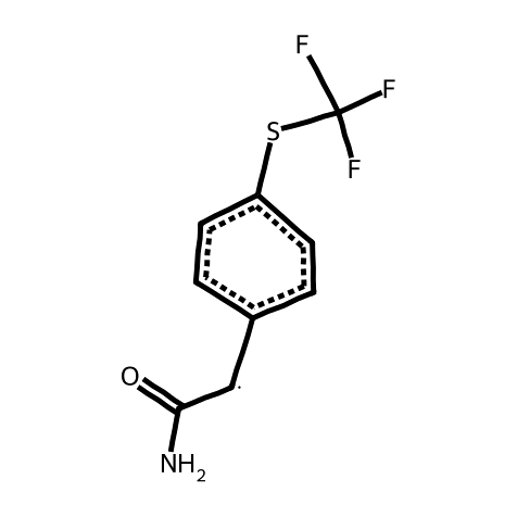 NC(=O)[CH]c1ccc(SC(F)(F)F)cc1